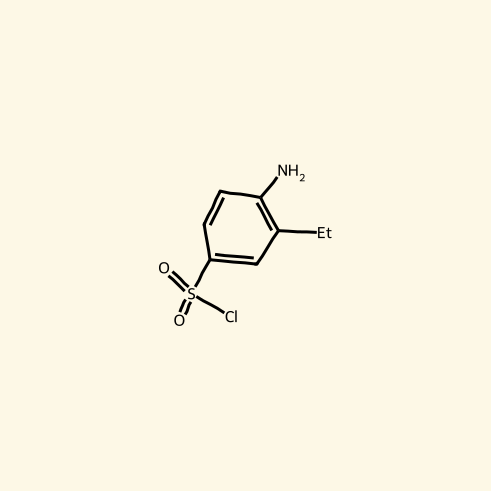 CCc1cc(S(=O)(=O)Cl)ccc1N